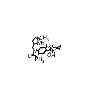 CN1CCC(Cn2c(=O)n(C)c3cc(S(=O)(=O)NC4(C)CC4)ccc32)N1